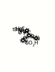 CC(NC(=O)OC(C)(C)C)c1cccc(-c2cc(COc3ccccc3CC(=O)O)cc(OCc3ccncc3)c2)c1F